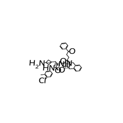 Cc1cc(NC(=O)[C@@H](CC23CC(N)(C2)C3)NC(=O)[C@@H]2Cc3ccccc3CN2C(=O)CCC(=O)c2ccccc2)ccc1Cl